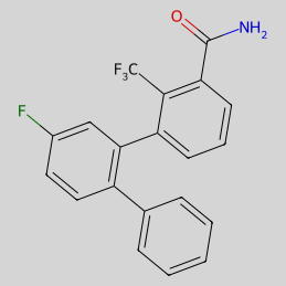 NC(=O)c1cccc(-c2cc(F)ccc2-c2ccccc2)c1C(F)(F)F